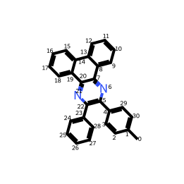 Cc1ccc(-c2nc3c4ccccc4c4ccccc4c3nc2-c2ccccc2)cc1